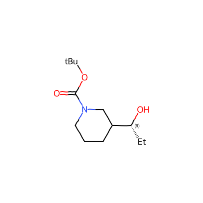 CC[C@@H](O)C1CCCN(C(=O)OC(C)(C)C)C1